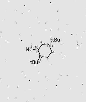 CC(C)(C)N1CCN(C(C)(C)C)[C@@H](C#N)C1